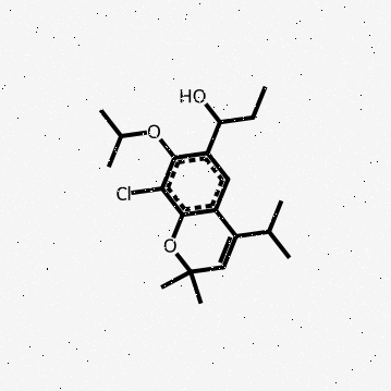 CCC(O)c1cc2c(c(Cl)c1OC(C)C)OC(C)(C)C=C2C(C)C